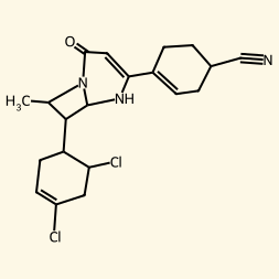 CC1C(C2CC=C(Cl)CC2Cl)C2NC(C3=CCC(C#N)CC3)=CC(=O)N12